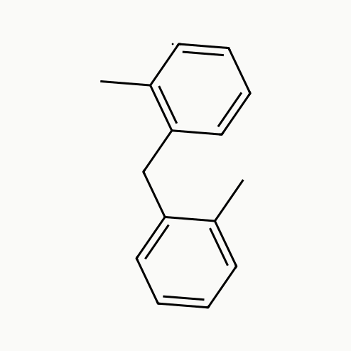 Cc1[c]cccc1Cc1ccccc1C